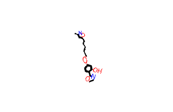 Cc1cc(CCCCCOc2ccc(C3=NCCO3)c(O)c2)on1